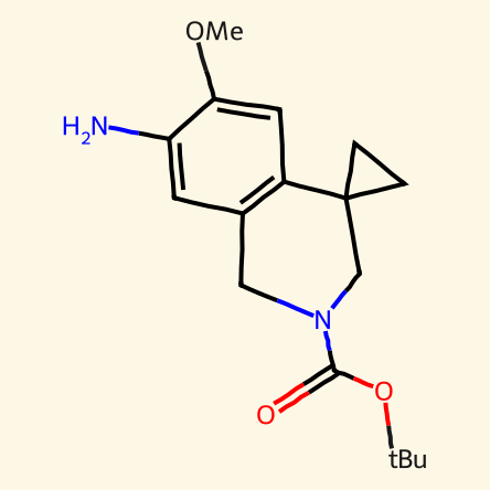 COc1cc2c(cc1N)CN(C(=O)OC(C)(C)C)CC21CC1